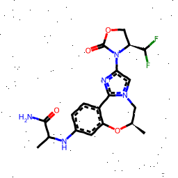 CC(Nc1ccc2c(c1)O[C@H](C)Cn1cc(N3C(=O)OC[C@H]3C(F)F)nc1-2)C(N)=O